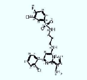 Bc1cnn2c(NCCCNS(=O)(=O)c3ccc(F)c(Cl)c3)cc(-c3ccccc3Cl)nc12